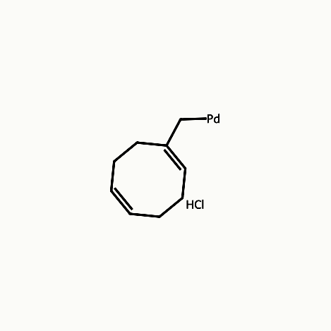 Cl.[Pd][CH2]C1=CCCC=CCC1